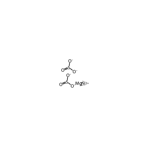 O=S([O-])[O-].O=S([O-])[O-].[Mg+2].[Zn+2]